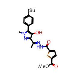 COC(=O)c1ccc(C(=O)NN=C(C)c2nn(C)c(-c3ccc(C(C)(C)C)cc3)c2O)s1